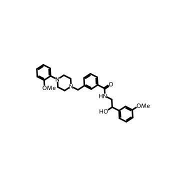 COc1cccc(C(O)CNC(=O)c2cccc(CN3CCN(c4ccccc4OC)CC3)c2)c1